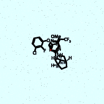 COc1cc(N2C[C@H]3CC[C@@H](C2)[C@H]3Nc2nc(Oc3cccc(Cl)c3F)n(CC(F)(F)F)n2)ccn1